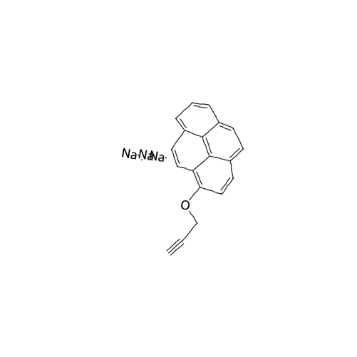 C#CCOc1ccc2ccc3cccc4ccc1c2c34.[Na].[Na].[Na]